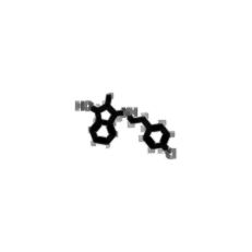 CC1C(O)c2ccccc2C1NCCc1ccc(Cl)cc1